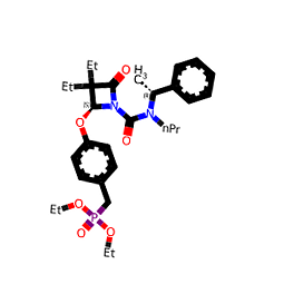 CCCN(C(=O)N1C(=O)C(CC)(CC)[C@@H]1Oc1ccc(CP(=O)(OCC)OCC)cc1)[C@H](C)c1ccccc1